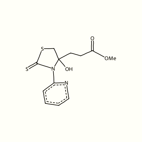 COC(=O)CCC1(O)CSC(=S)N1c1ccccn1